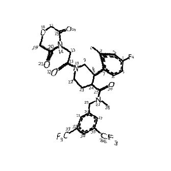 Cc1cc(F)ccc1C1CN(C(=O)CN2C(=O)COCC2=O)CCC1C(=O)N(C)Cc1cc(C(F)(F)F)cc(C(F)(F)F)c1